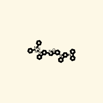 c1ccc(-c2nc(-c3ccccc3)nc(-n3c4ccccc4c4cc(-c5ccc6c(n5)oc5ccc(-n7c8ccccc8c8cc(-n9c%10ccccc%10c%10ccccc%109)ccc87)cc56)ccc43)n2)cc1